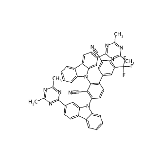 Cc1nc(C)nc(-c2ccc3c4ccccc4n(-c4ccc(-c5cc(C#N)cc(C(F)(F)F)c5)c(-n5c6ccccc6c6ccc(-c7nc(C)nc(C)n7)cc65)c4C#N)c3c2)n1